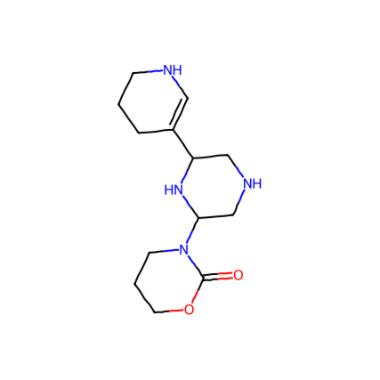 O=C1OCCCN1C1CNCC(C2=CNCCC2)N1